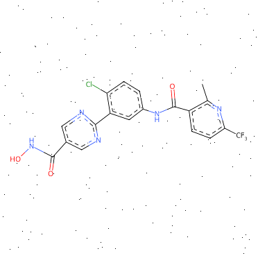 Cc1nc(C(F)(F)F)ccc1C(=O)Nc1ccc(Cl)c(-c2ncc(C(=O)NO)cn2)c1